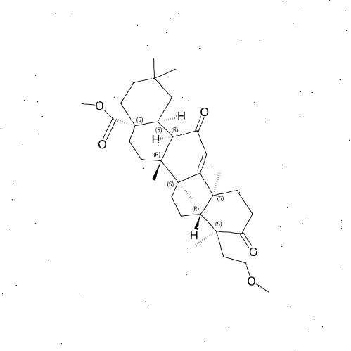 COCC[C@]1(C)C(=O)CC[C@]2(C)C3=CC(=O)[C@@H]4[C@@H]5CC(C)(C)CC[C@]5(C(=O)OC)CC[C@@]4(C)[C@]3(C)CC[C@@H]12